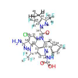 Nc1nn(CC(F)(F)F)c2c(-c3ccc(NC(=O)O)nc3[C@H](Cc3cc(F)cc(F)c3)NC(=O)Cn3nc(C(F)(F)F)c4c3C(F)(F)[C@@H]3C[C@H]43)ccc(Cl)c12